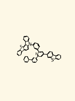 c1ccc(-c2cccc(-c3cc(-c4ccc5c(c4)sc4ccccc45)cc(-c4cccc(-n5c6ccccc6c6c7sc8ccccc8c7ccc65)c4)n3)c2)cc1